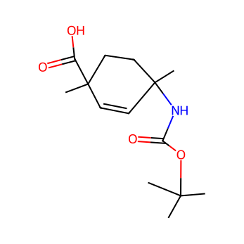 CC1(NC(=O)OC(C)(C)C)C=CC(C)(C(=O)O)CC1